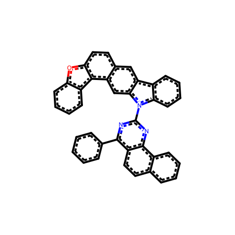 c1ccc(-c2nc(-n3c4ccccc4c4cc5ccc6oc7ccccc7c6c5cc43)nc3c2ccc2ccccc23)cc1